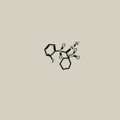 [N-]=[N+]=C(C1([SH](=O)=O)CCCCC1)S(=O)(=O)c1ccccc1F